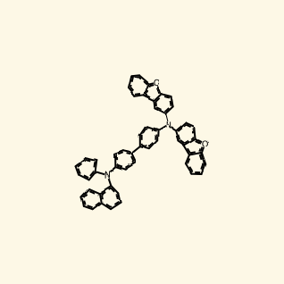 c1ccc(N(c2ccc(-c3ccc(N(c4ccc5oc6ccccc6c5c4)c4ccc5oc6ccccc6c5c4)cc3)cc2)c2cccc3ccccc23)cc1